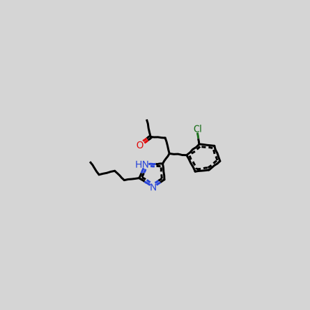 CCCCc1ncc(C(CC(C)=O)c2ccccc2Cl)[nH]1